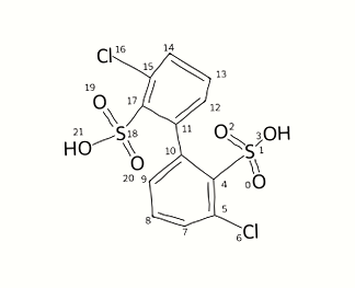 O=S(=O)(O)c1c(Cl)cccc1-c1cccc(Cl)c1S(=O)(=O)O